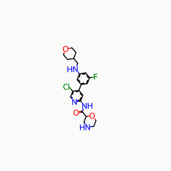 O=C(Nc1cc(-c2cc(F)cc(NCC3CCOCC3)c2)c(Cl)cn1)C1CNCCO1